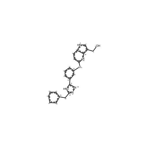 OCc1c[nH]c2ccc(Oc3cccc(-c4nnc(Cc5ccccc5)[nH]4)c3)nc12